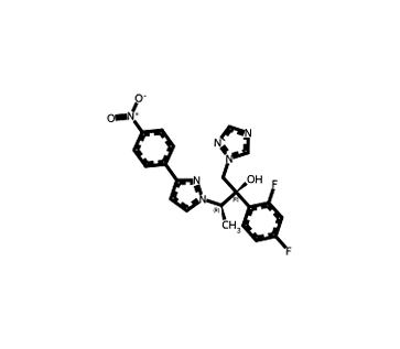 C[C@@H](n1ccc(-c2ccc([N+](=O)[O-])cc2)n1)[C@](O)(Cn1cncn1)c1ccc(F)cc1F